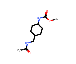 CC(C)(C)OC(=O)NC1CCC(CNC(=O)C(F)(F)F)CC1